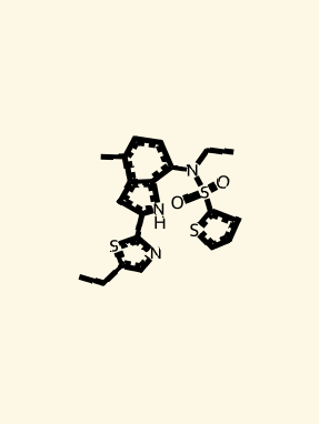 CCc1cnc(-c2cc3c(C)ccc(N(CC)S(=O)(=O)c4cccs4)c3[nH]2)s1